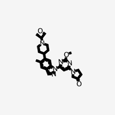 COc1nc(N2CCC(=O)C2)cc(-n2ncc3cc(C)c(C4CCN(C5COC5)CC4)cc32)n1